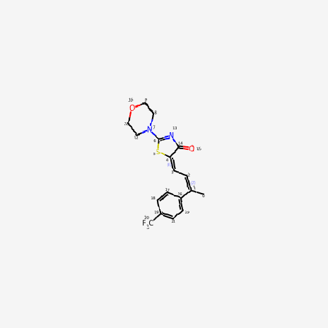 C/C(=C/C=C1/SC(N2CCOCC2)=NC1=O)c1ccc(C(F)(F)F)cc1